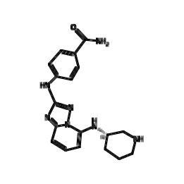 NC(=O)c1ccc(Nc2nc3cccc(N[C@H]4CCCNC4)n3n2)cc1